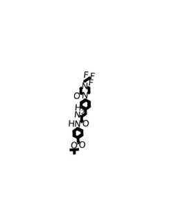 CC(C)(C)OC(=O)c1ccc(NC(=O)[C@@H](N)Cc2ccc(N3CCN(CC(F)(F)F)CC3=O)cc2)cc1